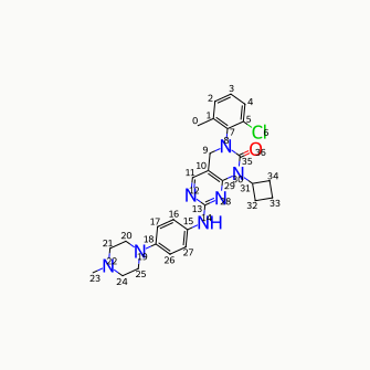 Cc1cccc(Cl)c1N1Cc2cnc(Nc3ccc(N4CCN(C)CC4)cc3)nc2N(C2CCC2)C1=O